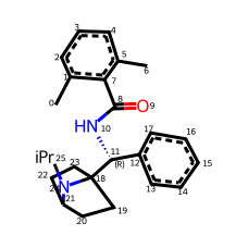 Cc1cccc(C)c1C(=O)N[C@H](c1ccccc1)C12CCC(CC1)N2C(C)C